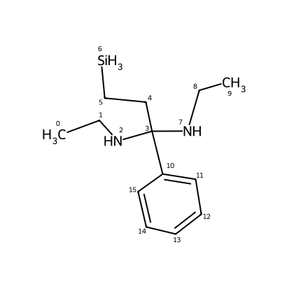 CCNC(CC[SiH3])(NCC)c1ccccc1